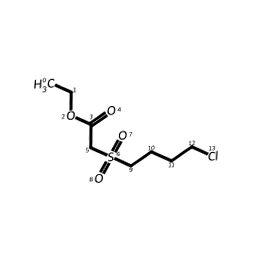 CCOC(=O)CS(=O)(=O)CCCCCl